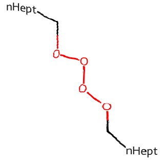 CCCCCCCCOOOOCCCCCCCC